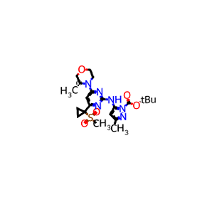 Cc1cc(Nc2nc(N3CCOC[C@H]3C)cc(C3(S(C)(=O)=O)CC3)n2)n(C(=O)OC(C)(C)C)n1